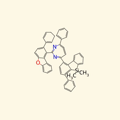 C[Si]1(C)c2ccccc2-c2c(C3=NC(c4c(C5=CCCC=C5)ccc5oc6ccccc6c45)=NC(c4ccccc4)=C=C3)ccc(-c3ccccc3)c21